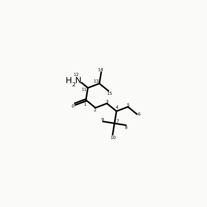 C=C(CCC(CC)C(C)(C)C)C(N)C(C)C